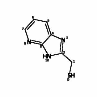 SCc1nc2cccnc2[nH]1